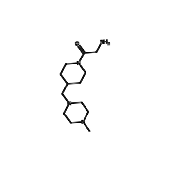 CN1CCN(CC2CCN(C(=O)CN)CC2)CC1